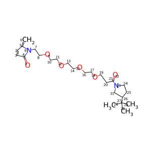 C=C1C=CC(=O)N1CCOCCOCCOCCOCCC(=O)N1CC[C@@H](C(C)(C)C)C1